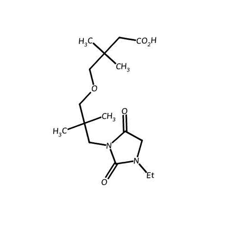 CCN1CC(=O)N(CC(C)(C)COCC(C)(C)CC(=O)O)C1=O